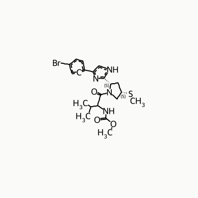 COC(=O)NC(C(=O)N1C[C@@H](SC)C[C@H]1c1nc(-c2ccc(Br)cc2)c[nH]1)C(C)C